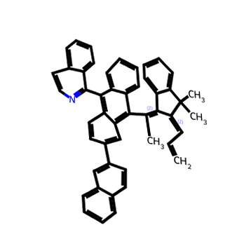 C=C/C=C1\C(=C(/C)c2c3ccccc3c(-c3nccc4ccccc34)c3ccc(-c4ccc5ccccc5c4)cc23)c2ccccc2C1(C)C